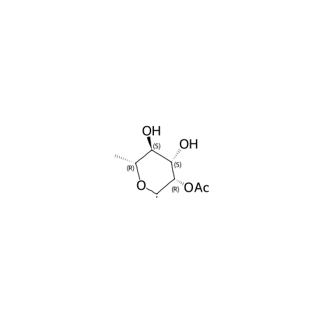 CC(=O)O[C@@H]1[CH]O[C@H](C)[C@@H](O)[C@@H]1O